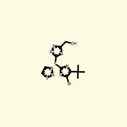 CC(C)(C)c1nc(Sc2nnc(CO)s2)sc1Br.c1csnn1